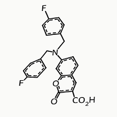 O=C(O)c1cc2ccc(N(Cc3ccc(F)cc3)Cc3ccc(F)cc3)cc2oc1=O